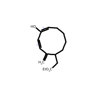 C=C1/C=C\C(O)=C/CCCCC1CC(=O)OCC